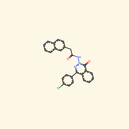 O=C(Cc1ccc2ccccc2c1)Nn1nc(-c2ccc(Cl)cc2)c2ccccc2c1=O